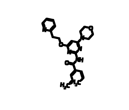 C=C/C=C(\C=C/C)C(=O)Nc1nc(OCCc2ccccn2)cc(N2CCOCC2)n1